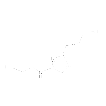 CCCNc1ccn(CCOC)n1